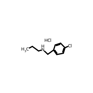 CCCNCc1ccc(Cl)cc1.Cl